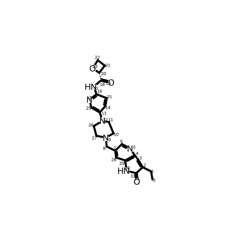 CCc1cc2ncc(CN3CCN(c4ccc(NC(=O)[C@H]5CCO5)nc4)CC3)cc2[nH]c1=O